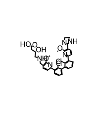 COc1nc(-c2cccc(-c3cccc(-c4ccc(C5=NCCN5)c(OC)n4)c3Cl)c2Cl)ccc1CNC[C@@H](O)CC(=O)O